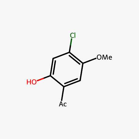 COc1cc(C(C)=O)c(O)cc1Cl